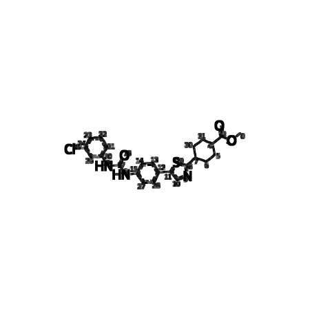 COC(=O)C1CCC(c2ncc(-c3ccc(NC(=O)Nc4cccc(Cl)c4)cc3)s2)CC1